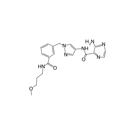 COCCCNC(=O)c1cccc(Cn2cc(NC(=O)c3nccnc3N)cn2)c1